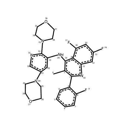 Cc1c(-c2ccccc2F)nc2cc(F)cc(F)c2c1Nc1cc(N2CCOCC2)cnc1N1CCOCC1